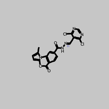 Cc1ccc2oc(=O)c3ccc(C(=O)N/N=C/c4c(Cl)ncnc4Cl)cc3n12